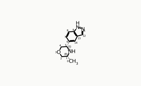 C[C@@H]1COC[C@H](c2ccc3[nH]ncc3c2)N1